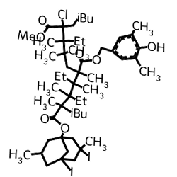 CCC(C)CC(Cl)(C(=O)OC)C(C)(CC)C(C)(C)CC(C)(C(=O)OCc1cc(C)c(O)c(C)c1)C(C)(CC)C(C)(CC)C(C)(C(=O)OC12CC(C)CC(I)(CC(C)(I)C1)C2)C(C)CC